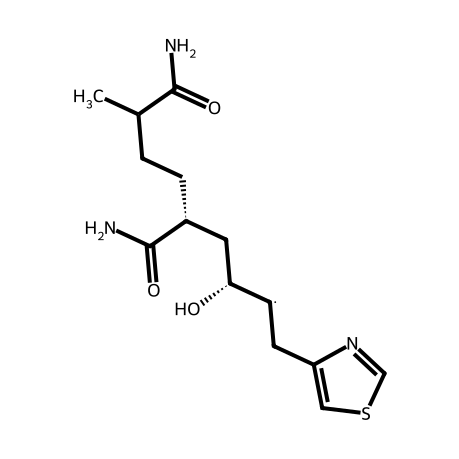 CC(CC[C@H](C[C@@H](O)[CH]Cc1cscn1)C(N)=O)C(N)=O